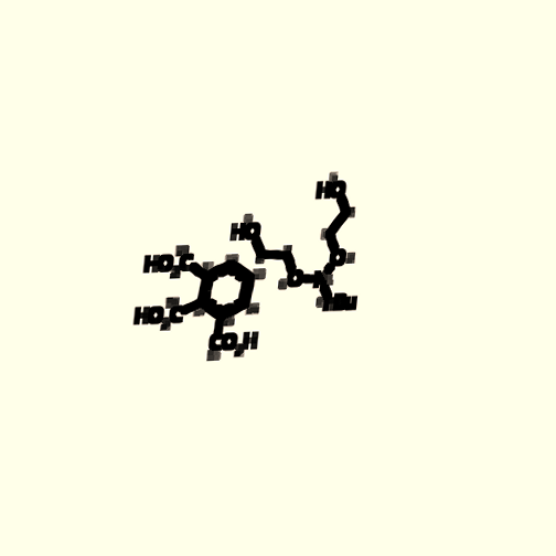 CCCCN(OCCO)OCCO.O=C(O)c1cccc(C(=O)O)c1C(=O)O